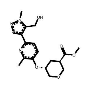 COC(=O)[C@H]1COC[C@H](Oc2ccc(-c3nnn(C)c3CO)nc2C)C1